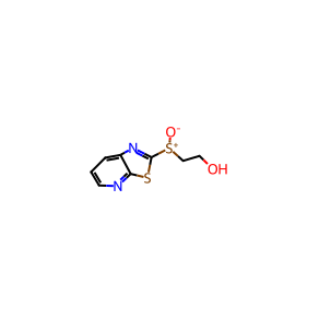 [O-][S+](CCO)c1nc2cccnc2s1